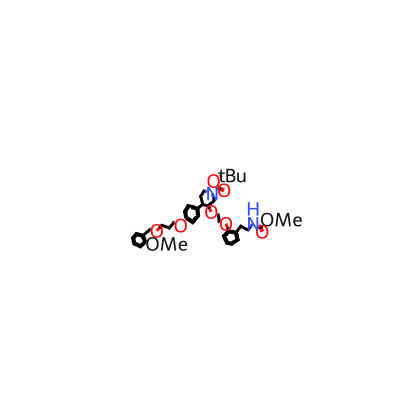 COC(=O)NCCc1ccccc1OCCOC1CN(C(=O)OC(C)(C)C)CCC1c1ccc(OCCCOCc2ccccc2OC)cc1